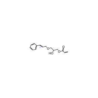 C=CC(=O)OCC(O)COC/C=C/c1ccccc1